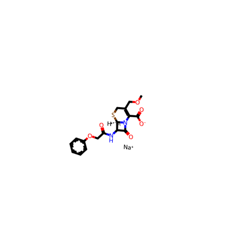 COCC1=C(C(=O)[O-])N2C(=O)C(NC(=O)COc3ccccc3)[C@H]2SC1.[Na+]